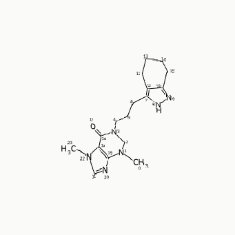 CN1CN(CCCc2[nH]nc3c2CCCC3)C(=O)c2c1ncn2C